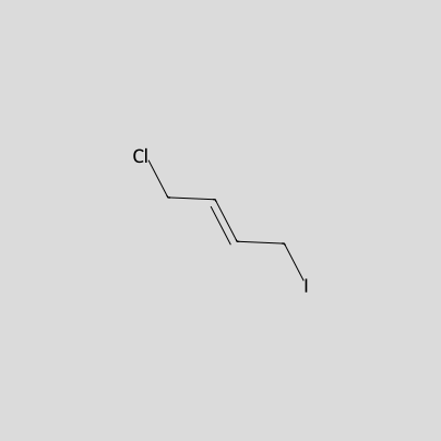 ClCC=CCI